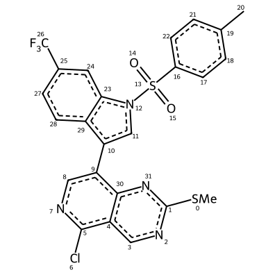 CSc1ncc2c(Cl)ncc(-c3cn(S(=O)(=O)c4ccc(C)cc4)c4cc(C(F)(F)F)ccc34)c2n1